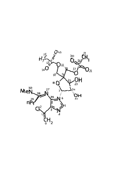 C=C(Cl)c1ncn([C@@H]2OC(COS(C)(=O)=O)(COS(C)(=O)=O)C(O)[C@@H]2O)c1/N=C(\CCC)NC